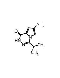 CC(C)c1n[nH]c(=O)c2cc(N)cn12